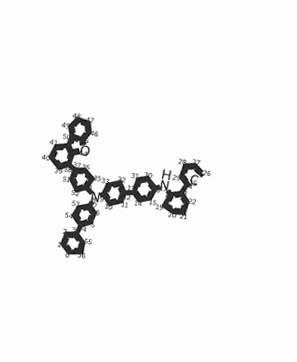 c1ccc(-c2ccc(N(c3ccc(-c4ccc(Nc5ccccc5-c5ccccc5)cc4)cc3)c3ccc(-c4cccc5c4oc4ccccc45)cc3)cc2)cc1